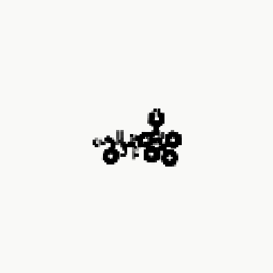 O=C=C[C@H](NC(=O)c1nc2cc3c(-c4ccncc4)nn(C(c4ccccc4)(c4ccccc4)c4ccccc4)c3cc2[nH]1)c1ccccc1